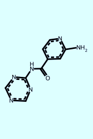 Nc1cc(C(=O)Nc2ncncn2)ccn1